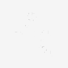 C=CC(=O)COCC1(C)CC2CC(C1)C1CC(C)(COCC(=O)C=C)CCC21